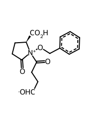 O=[C]CCC(=O)[N+]1(OCc2ccccc2)C(=O)CC[C@H]1C(=O)O